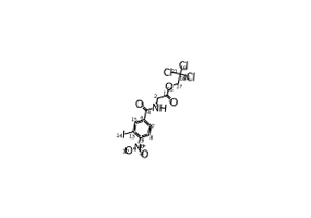 O=C(CNC(=O)c1ccc([N+](=O)[O-])c(I)c1)OCC(Cl)(Cl)Cl